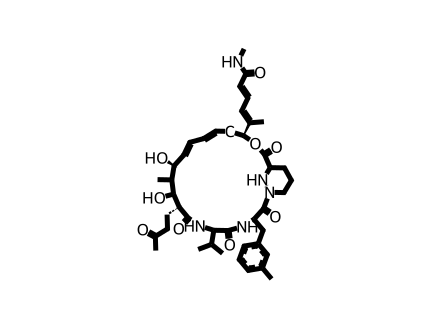 CNC(=O)/C=C/C=C(\C)[C@@H]1C/C=C/C=C/[C@H](O)C(C)C(O)[C@@H](CCC(C)=O)C(=O)NC(C(C)C)C(=O)NC(Cc2cccc(C)c2)C(=O)N2CCCC(N2)C(=O)O1